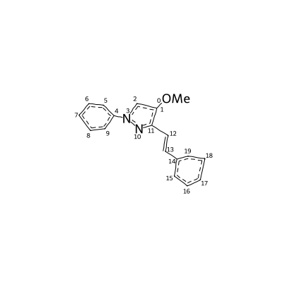 COc1cn(-c2ccccc2)nc1C=Cc1ccccc1